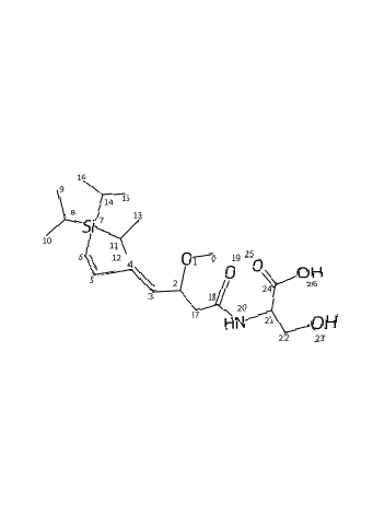 COC(/C=C/C=C\[Si](C(C)C)(C(C)C)C(C)C)CC(=O)NC(CO)C(=O)O